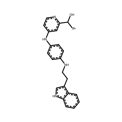 CC(C)C(O)c1cc(Nc2ccc(NCCc3c[nH]c4ccccc34)cc2)ccn1